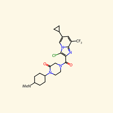 CNC1CCC(N2CCN(C(=O)c3nc4c(C(F)(F)F)cc(C5CC5)cn4c3Cl)CC2=O)CC1